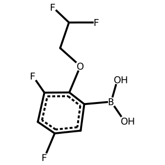 OB(O)c1cc(F)cc(F)c1OCC(F)F